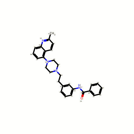 Cc1ccc2c(N3CCN(CCc4cccc(NC(=O)c5ccccc5)c4)CC3)cccc2n1